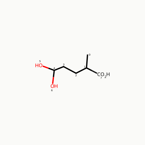 CC(CCC(O)O)C(=O)O